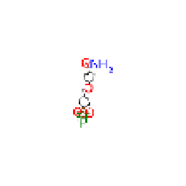 NC(=O)c1ccc(OCc2ccc(S(=O)(=O)C(F)(F)F)cc2)cc1